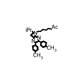 CC(=O)CCCCCCn1c(C(C)C)cc2nc(-c3ccc(C)cc3)c(-c3ccc(C)cc3)nc21